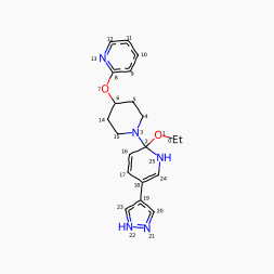 CCOC1(N2CCC(Oc3ccccn3)CC2)C=CC(c2cn[nH]c2)=CN1